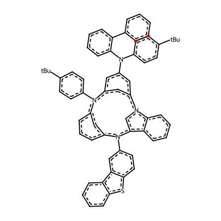 CC(C)(C)c1ccc(N(c2cc3cc(c2)n2cc(c4ccccc42)n(-c2ccc4sc5ccccc5c4c2)c2cccc(c2)n3-c2ccc(C(C)(C)C)cc2)c2ccccc2-c2ccccc2)cc1